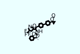 C[C@@H](OC(=O)Nc1c(-c2ccc(-c3ccc(C4(OC=O)CC4)cc3)cc2)oc2ncc(C(F)(F)F)cc12)c1ccccc1